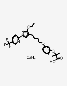 CCOc1nn(-c2ccc(C(F)(F)F)cn2)cc1CCCCOc1cccc(OC(C)(C)C(=O)O)c1.[CaH2]